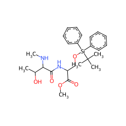 CNC(C(=O)NC(CO[Si](c1ccccc1)(c1ccccc1)C(C)(C)C)C(=O)OC)C(C)O